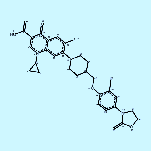 C=C(O)c1cn(C2CC2)c2cc(N3CCC(COc4ccc(N5CCOC5=C)cc4F)CC3)c(F)cc2c1=O